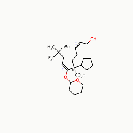 CCCCC(C)(C/C=C(/OC1CCCCO1)[C@](CC/C=C\CO)(C(=O)O)C1CCCC1)C(F)(F)F